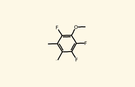 [CH2]c1c(C)c(F)c(OC)c(F)c1F